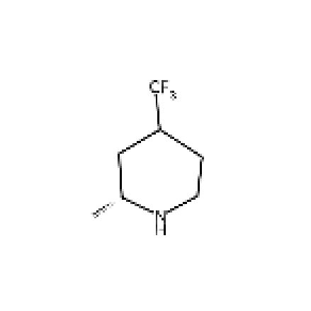 C[C@@H]1CC(C(F)(F)F)CCN1